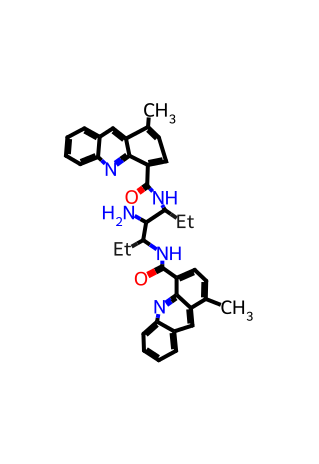 CCC(NC(=O)c1ccc(C)c2cc3ccccc3nc12)C(N)C(CC)NC(=O)c1ccc(C)c2cc3ccccc3nc12